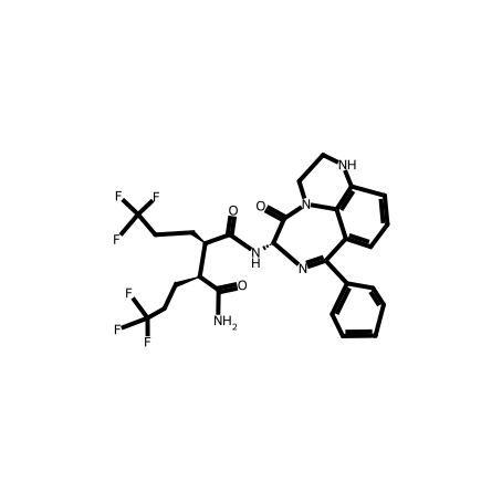 NC(=O)[C@@H](CCC(F)(F)F)[C@@H](CCC(F)(F)F)C(=O)N[C@H]1N=C(c2ccccc2)c2cccc3c2N(CCN3)C1=O